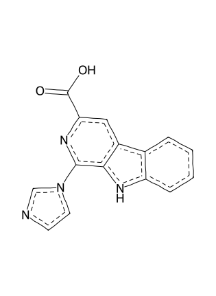 O=C(O)c1cc2c([nH]c3ccccc32)c(-n2ccnc2)n1